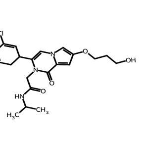 CC(C)NC(=O)Cn1c(C2C=C(Cl)C=CC2)cn2cc(OCCCO)cc2c1=O